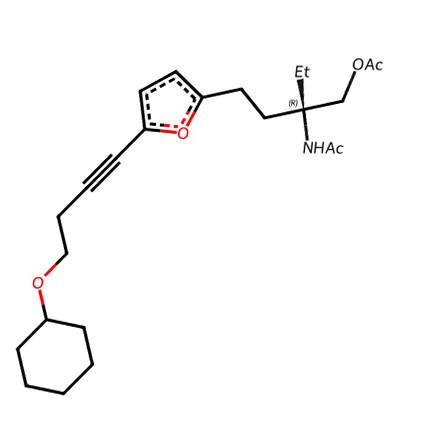 CC[C@@](CCc1ccc(C#CCCOC2CCCCC2)o1)(COC(C)=O)NC(C)=O